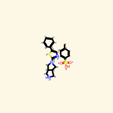 Cc1ccc(S(=O)(=O)O)cc1.c1ccc(-c2cnc(N3CC4CNCC4C3)s2)cc1